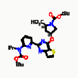 CC(C)N(C(=O)OC(C)(C)C)c1cccc(-c2nc(O[C@@H]3C[C@@H](C(=O)O)N(C(=O)OC(C)(C)C)C3)c3sccc3n2)n1